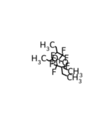 CC[O][Sn]([O]CC)([C](F)(F)C(F)CC)[C](F)(F)C(F)CC